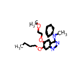 CCCCOc1cc2ncnc(N(C)c3ccccc3)c2cc1OCCOC